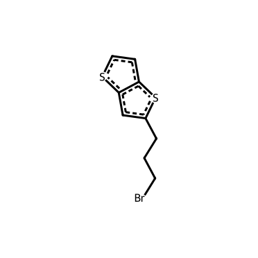 BrCCCc1cc2sccc2s1